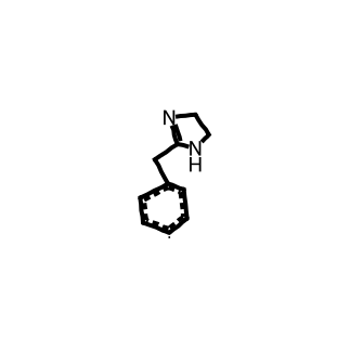 [c]1ccc(CC2=NCCN2)cc1